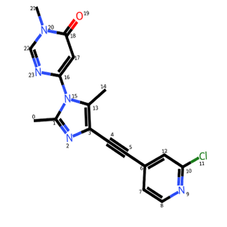 Cc1nc(C#Cc2ccnc(Cl)c2)c(C)n1-c1cc(=O)n(C)cn1